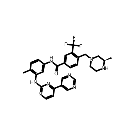 Cc1ccc(NC(=O)c2ccc(CN3CCN[C@H](C)C3)c(C(F)(F)F)c2)cc1Nc1nccc(-c2cncnc2)n1